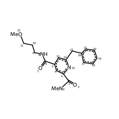 CNC(=O)c1cc(C(=O)NCCCOC)cc(Cc2ccccc2)n1